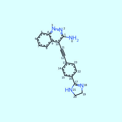 Nc1nnc2ccccc2c1C#Cc1ccc(C2=NCCN2)cc1